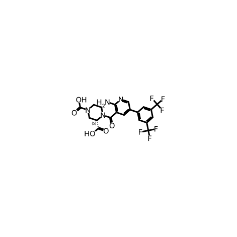 Nc1ncc(-c2cc(C(F)(F)F)cc(C(F)(F)F)c2)cc1C(=O)N1CCN(C(=O)O)C[C@H]1C(=O)O